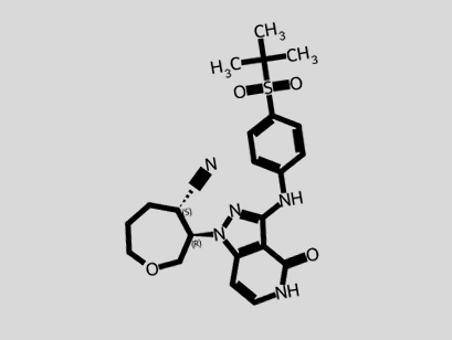 CC(C)(C)S(=O)(=O)c1ccc(Nc2nn([C@H]3COCCC[C@@H]3C#N)c3cc[nH]c(=O)c23)cc1